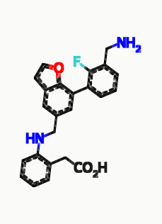 NCc1cccc(-c2cc(CNc3ccccc3CC(=O)O)cc3ccoc23)c1F